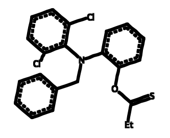 CCC(=S)Oc1ccccc1N(Cc1ccccc1)c1c(Cl)cccc1Cl